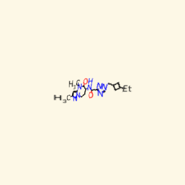 CCC1CC(Cn2cnc(C(=O)NC3CCn4nc(C)cc4N(C)C3=O)n2)C1